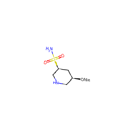 CO[C@H]1CNC[C@@H](S(N)(=O)=O)C1